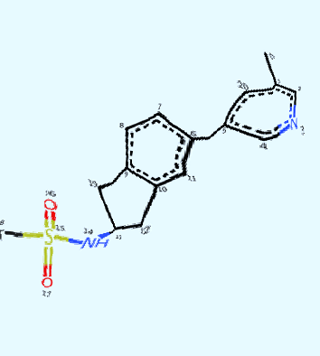 Cc1cncc(-c2ccc3c(c2)C[C@@H](NS(=O)(=O)C(C)C)C3)c1